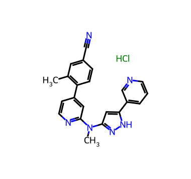 Cc1cc(C#N)ccc1-c1ccnc(N(C)c2cc(-c3cccnc3)[nH]n2)c1.Cl